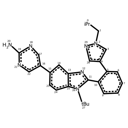 CC(C)Cn1cc(-c2ccccc2-c2nc3cc(-c4cnc(N)nc4)ccc3n2C(C)(C)C)cn1